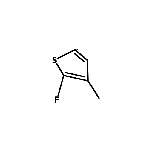 Cc1c[c]sc1F